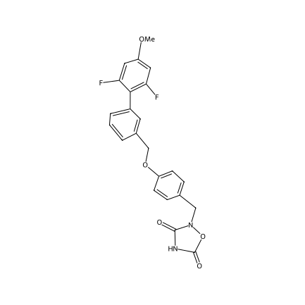 COc1cc(F)c(-c2cccc(COc3ccc(Cn4oc(=O)[nH]c4=O)cc3)c2)c(F)c1